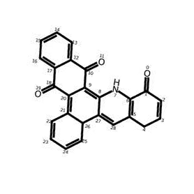 O=C1C=CCC2=C1NC1=C3C(=O)c4ccccc4C(=O)C3=C3C=CC=CC3C1=C2